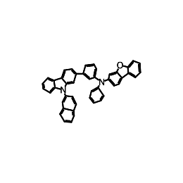 c1ccc(N(c2cccc(-c3ccc4c5ccccc5n(-c5ccc6ccccc6c5)c4c3)c2)c2ccc3c(c2)oc2ccccc23)cc1